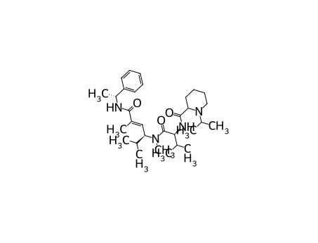 C/C(=C\[C@H](C(C)C)N(C)C(=O)[C@@H](NC(=O)C1CCCCN1C(C)C)C(C)C)C(=O)N[C@H](C)c1ccccc1